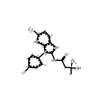 C[C@@](O)(CC(=O)Nc1nc2ccc(C(F)(F)F)nc2n1-c1ccc(F)cc1)C(F)(F)F